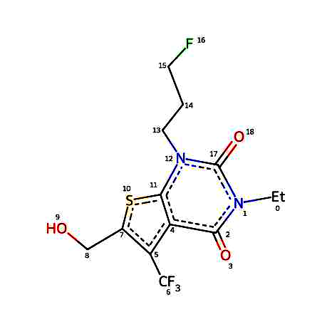 CCn1c(=O)c2c(C(F)(F)F)c(CO)sc2n(CCCF)c1=O